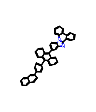 c1ccc2cc(-c3ccc(-c4c5ccccc5c(-c5ccc6c(c5)nc5c7ccccc7c7ccccc7n65)c5ccccc45)cc3)ccc2c1